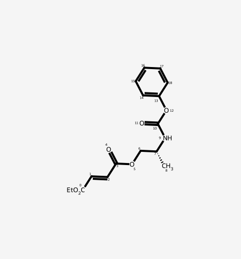 CCOC(=O)/C=C/C(=O)OC[C@@H](C)NC(=O)Oc1ccccc1